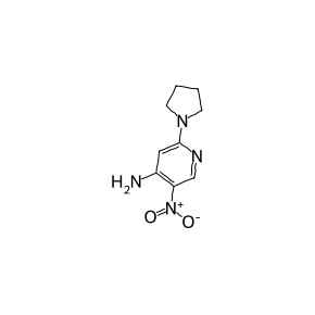 Nc1cc(N2CCCC2)ncc1[N+](=O)[O-]